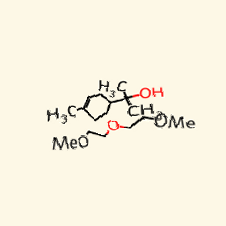 CC1=CCC(C(C)(C)O)CC1.COCCOCCOC